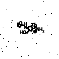 NS(=O)(=O)c1cc(CO)c(NCc2ccco2)cc1Cl